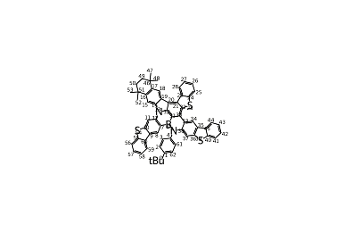 CC(C)(C)c1ccc(N2B3c4cc5c(cc4-n4c6cc7c(cc6c6c8c(sc9ccccc98)c(c3c64)-c3cc4c(cc32)sc2ccccc24)C(C)(C)CCC7(C)C)sc2ccccc25)cc1